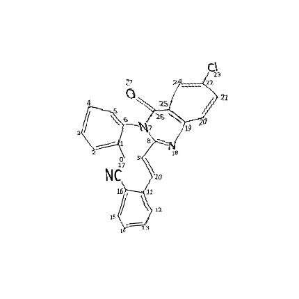 Cc1ccccc1-n1c(C=Cc2ccccc2C#N)nc2ccc(Cl)cc2c1=O